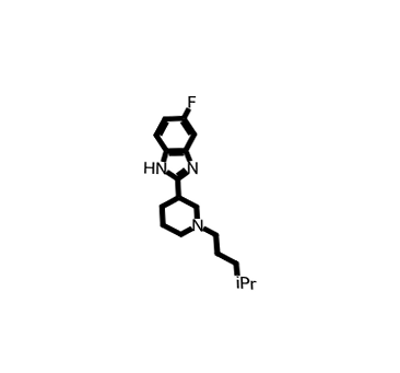 CC(C)CCCN1CCCC(c2nc3cc(F)ccc3[nH]2)C1